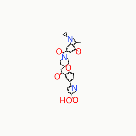 COc1cc(C(=O)N2CCC3(CC2)CC(=O)c2cc(-c4ccc(C(=O)O)cn4)ccc2O3)cc2c1c(C)cn2C1CC1